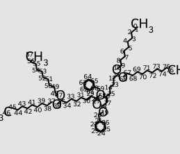 CCCCCCCCCCOC(CCCCC=CC(OCc1ccccc1)OC(C=CCCCCC(OCCCCCCCCCC)OCCCCCCCCCC)OCc1ccccc1)OCCCCCCCCCC